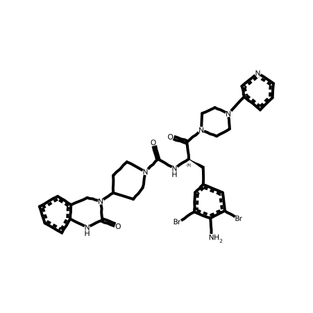 Nc1c(Br)cc(C[C@@H](NC(=O)N2CCC(N3Cc4ccccc4NC3=O)CC2)C(=O)N2CCN(c3cccnc3)CC2)cc1Br